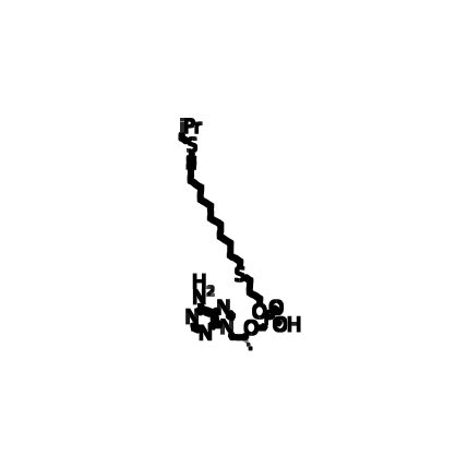 CC(C)CSC#CCCCCCCCCCCSCCCOP(=O)(O)CO[C@H](C)Cn1cnc2c(N)ncnc21